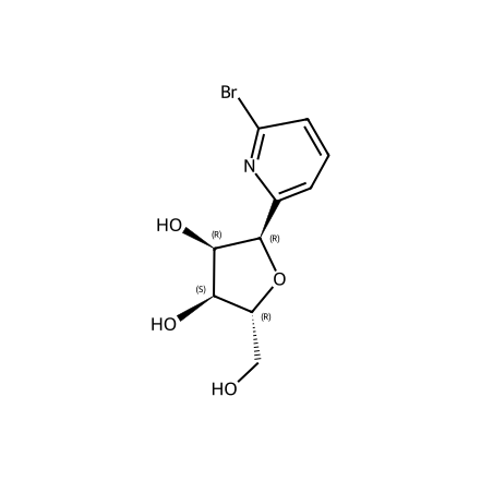 OC[C@H]1O[C@H](c2cccc(Br)n2)[C@H](O)[C@@H]1O